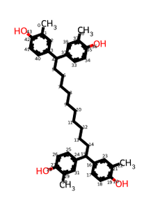 Cc1cc(C(CCCCCCCCCCC(c2ccc(O)c(C)c2)c2ccc(O)c(C)c2)c2ccc(O)c(C)c2)ccc1O